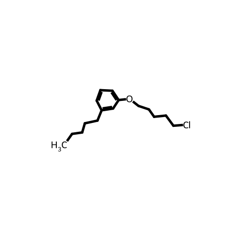 CCCCCc1cccc(OCCCCCCl)c1